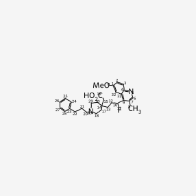 COc1ccc2ncc(C)c(C(F)CCC3(CC(=O)O)CCN(CCCc4ccccc4)CC3)c2c1